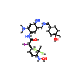 CN(C)C1=CC(=N)/C(=C\N=C/C2CCC(C)(O)CC2)C=C1NC(=O)/C(I)=C/C=C\C(=N\O)C(C)(F)F